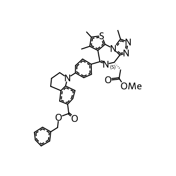 COC(=O)C[C@@H]1N=C(c2ccc(N3CCCc4cc(C(=O)OCc5ccccc5)ccc43)cc2)c2c(sc(C)c2C)-n2c(C)nnc21